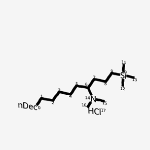 CCCCCCCCCCCCCCCC(CCC[Si](C)(C)C)N(C)C.Cl